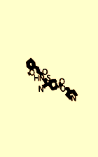 COc1ccccc1/C=C/C(=O)NC1SC2=C(CCN(C(=O)OCc3ccncc3)C2)C1C#N